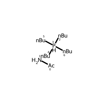 CC(N)=O.CCCC[PH](CCCC)(CCCC)CCCC